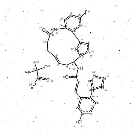 O=C(/C=C/c1cc(Cl)ccc1-n1cnnn1)N[C@H]1C/C=C/CCC(=O)Nc2ccc(F)cc2-c2c[nH]c1n2.O=C(O)C(F)(F)F